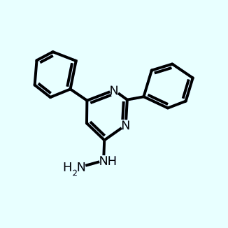 NNc1cc(-c2ccccc2)nc(-c2ccccc2)n1